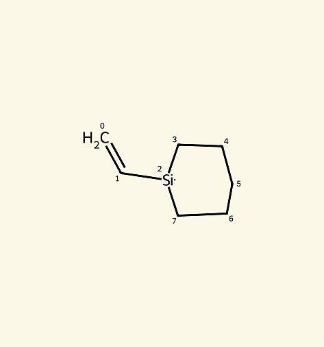 C=C[Si]1CCCCC1